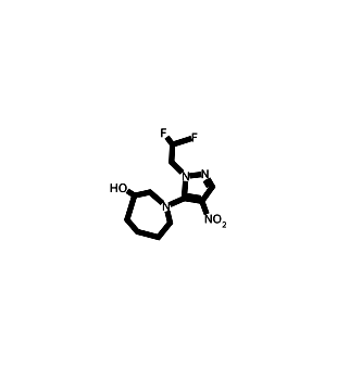 O=[N+]([O-])c1cnn(CC(F)F)c1N1CCCCC(O)C1